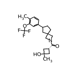 Cc1ccc(C2CCC3(C2)CN(C(=O)[C@H]2C[C@@](C)(O)C2)C3)cc1OC(F)(F)F